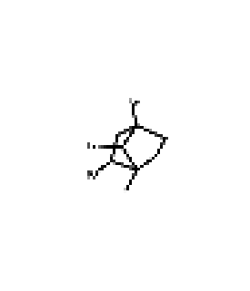 CC(=O)C12CCC(C)(C(O)C1)C2C(C)C